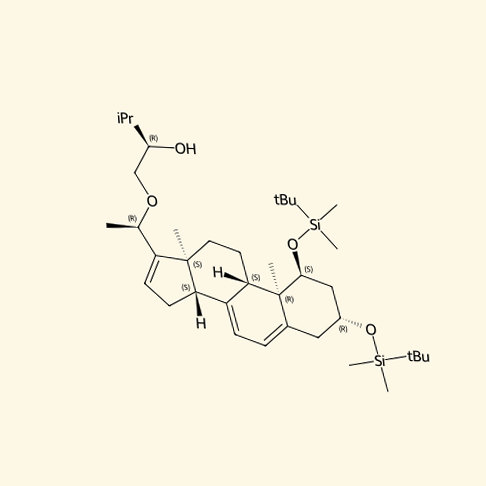 CC(C)[C@@H](O)CO[C@H](C)C1=CC[C@H]2C3=CC=C4C[C@@H](O[Si](C)(C)C(C)(C)C)C[C@H](O[Si](C)(C)C(C)(C)C)[C@]4(C)[C@H]3CC[C@]12C